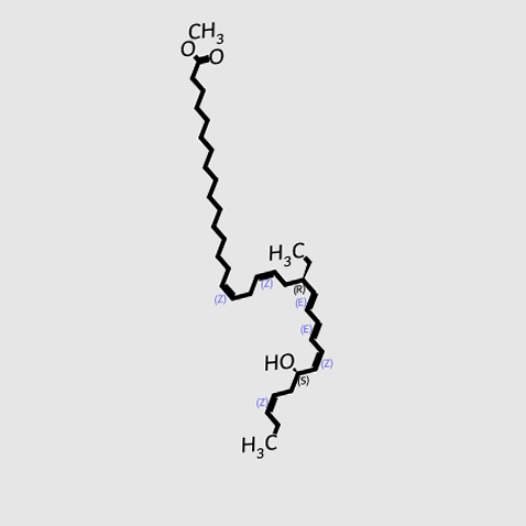 CC/C=C\C[C@H](O)\C=C/C=C/C=C/[C@H](CC)C/C=C\C/C=C\CCCCCCCCCCCCCCC(=O)OC